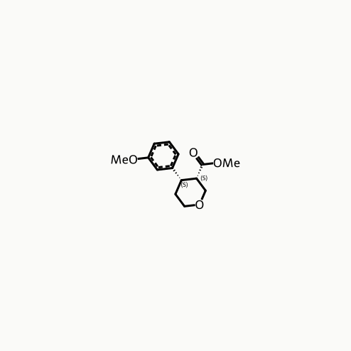 COC(=O)[C@@H]1COCC[C@@H]1c1cccc(OC)c1